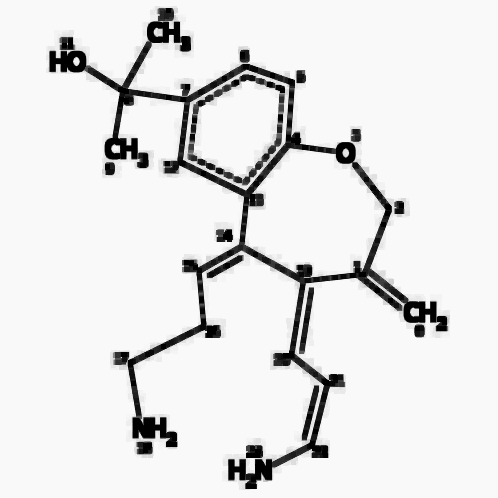 C=C1COc2ccc(C(C)(C)O)cc2C(=C/CCN)/C1=C/C=C\N